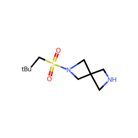 CC(C)(C)CS(=O)(=O)N1CC2(CNC2)C1